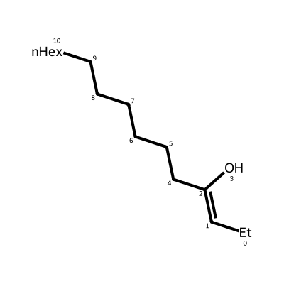 CCC=C(O)CCCCCCCCCCCC